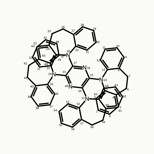 c1ccc2c(c1)CCc1ccccc1N2c1nc(N2c3ccccc3CCc3ccccc32)c(N2c3ccccc3CCc3ccccc32)nc1N1c2ccccc2CCc2ccccc21